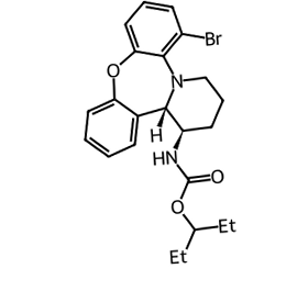 CCC(CC)OC(=O)N[C@@H]1CCCN2c3c(Br)cccc3Oc3ccccc3[C@@H]12